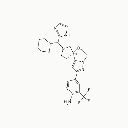 Nc1ncc(-c2cc3n(n2)CCO[C@@]32CCN(C(c3ncc[nH]3)C3CCCCC3)C2)cc1C(F)(F)F